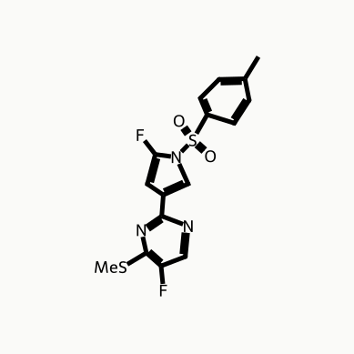 CSc1nc(-c2cc(F)n(S(=O)(=O)c3ccc(C)cc3)c2)ncc1F